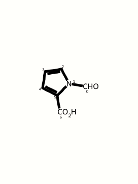 O=Cn1cccc1C(=O)O